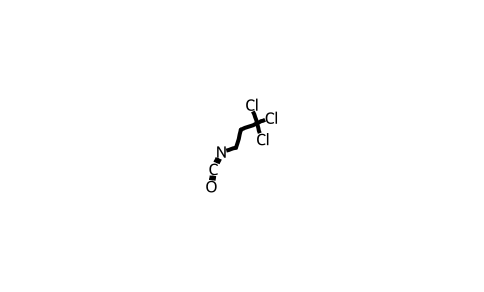 O=C=NCCC(Cl)(Cl)Cl